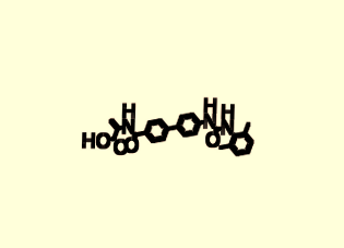 C=C(NC(=O)c1ccc(-c2ccc(NC(=O)Nc3c(C)cccc3C)cc2)cc1)C(=O)O